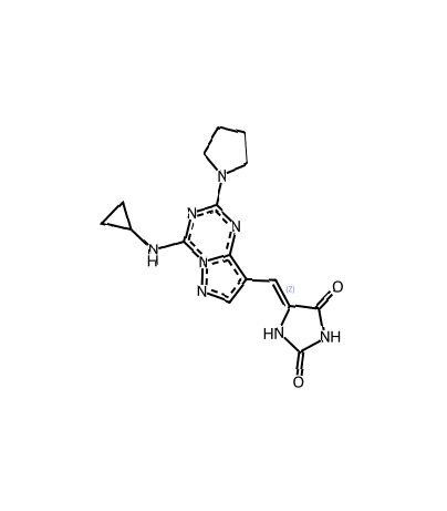 O=C1NC(=O)/C(=C/c2cnn3c(NC4CC4)nc(N4CCCC4)nc23)N1